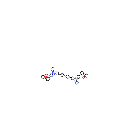 c1ccc(N(c2ccc(-c3ccc(-c4ccc(-c5ccc(N(c6ccccc6)c6ccc(-c7cccc8c7oc7ccccc78)cc6)cc5)cc4)cc3)cc2)c2ccc(-c3cccc4c3oc3ccccc34)cc2)cc1